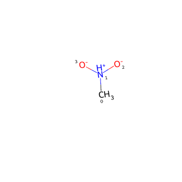 C[NH+]([O-])[O-]